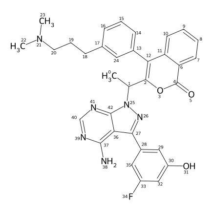 CC(c1oc(=O)c2ccccc2c1-c1cccc(CCCN(C)C)c1)n1nc(-c2cc(O)cc(F)c2)c2c(N)ncnc21